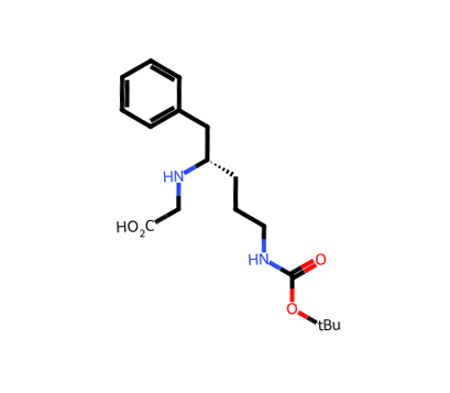 CC(C)(C)OC(=O)NCCC[C@@H](Cc1ccccc1)NCC(=O)O